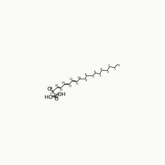 CCCCCCCCCCCC=CC=CC=CC(=O)P(=O)(O)O